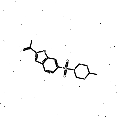 CC(=O)c1cc2ccc(S(=O)(=O)N3CCC(C)CC3)cc2[nH]1